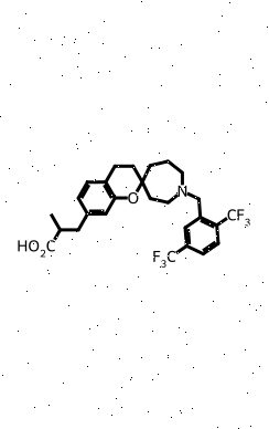 CC(Cc1ccc2c(c1)OC1(CCCN(Cc3cc(C(F)(F)F)ccc3C(F)(F)F)CC1)CC2)C(=O)O